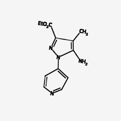 CCOC(=O)c1nn(-c2ccncc2)c(N)c1C